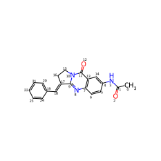 CC(=O)Nc1ccc2nc3n(c(=O)c2c1)CCC3=Cc1ccccc1